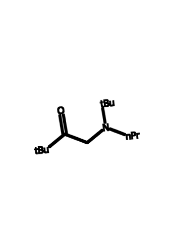 CCCN(CC(=O)C(C)(C)C)C(C)(C)C